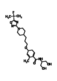 CC1=CC(OCCCC2CCN(c3noc(C(C)(C)F)n3)CC2)CC=C1C(=O)NC(CO)CO